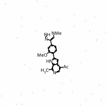 CN/C=C(\N=N)c1ccc(-c2cc3c(C(C)=O)cnc(C)c3[nH]2)c(OC)c1